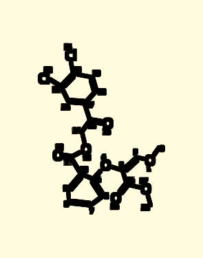 COC=C(Oc1ccccc1C(=O)OCC(=O)c1ccc(Cl)c(Cl)c1)C(=O)OC